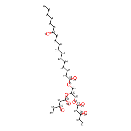 CCCCCCC(=O)CCCCCCCCCCC(=O)OCC(COC(=O)CC(=O)CC)OC(=O)CC(=O)CC